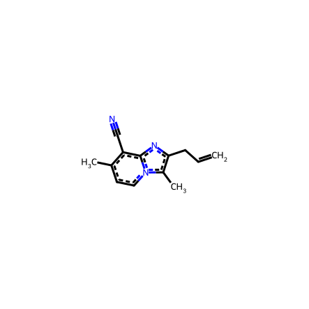 C=CCc1nc2c(C#N)c(C)ccn2c1C